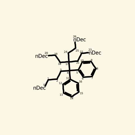 CCCCCCCCCCCCCC(c1cc[c]cc1)(c1cc[c]cc1)C(CCCCCCCCCCCC)(CCCCCCCCCCCC)CCCCCCCCCCCC